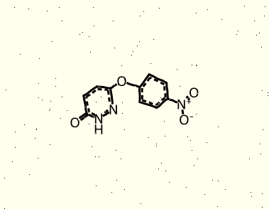 O=c1ccc(Oc2ccc([N+](=O)[O-])cc2)n[nH]1